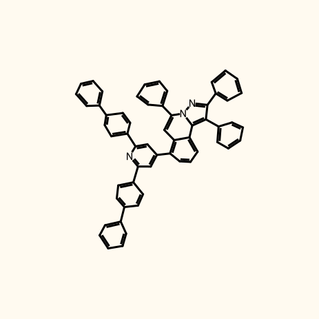 c1ccc(-c2ccc(-c3cc(-c4cccc5c4cc(-c4ccccc4)n4nc(-c6ccccc6)c(-c6ccccc6)c54)cc(-c4ccc(-c5ccccc5)cc4)n3)cc2)cc1